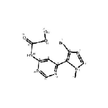 Cn1cnc(Br)c1-c1cc(NC(=O)OC(C)(C)C)ncn1